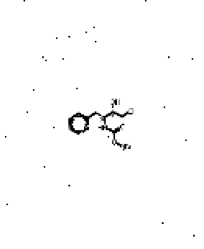 CC(C)(C)OC(=O)N[C@@H](Cc1ccccc1)[C@H](O)CCl